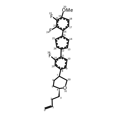 C=CCC[C@H]1CCC(c2ccc(-c3ccc(-c4ccc(OC)c(F)c4F)cc3)c(F)c2)CO1